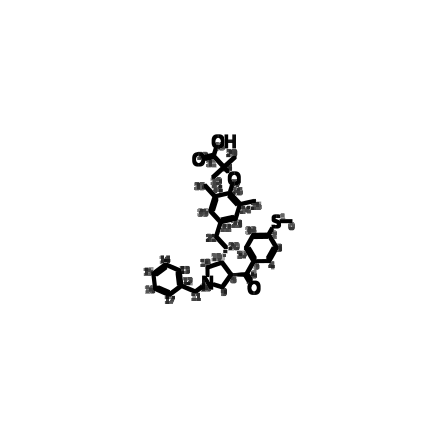 CSc1ccc(C(=O)[C@H]2CN(Cc3ccccc3)C[C@@H]2CCc2cc(C)c(OC(C)(C)C(=O)O)c(C)c2)cc1